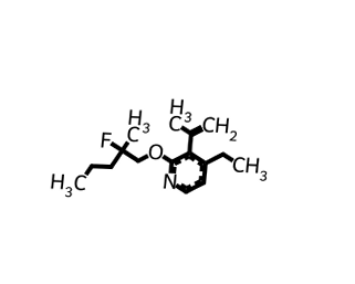 C=C(C)c1c(CC)ccnc1OCC(C)(F)CCC